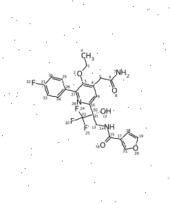 CCOc1c(CC(N)=O)cc([C@@](O)(CNC(=O)c2ccoc2)C(F)(F)F)nc1-c1ccc(F)cc1